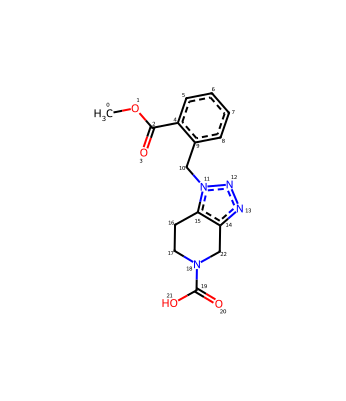 COC(=O)c1ccccc1Cn1nnc2c1CCN(C(=O)O)C2